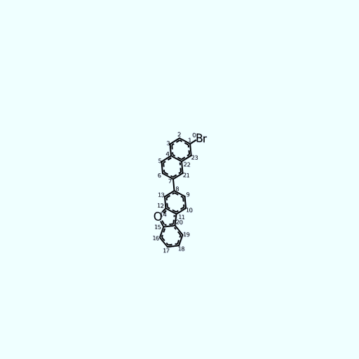 Brc1ccc2ccc(-c3ccc4c(c3)oc3ccccc34)cc2c1